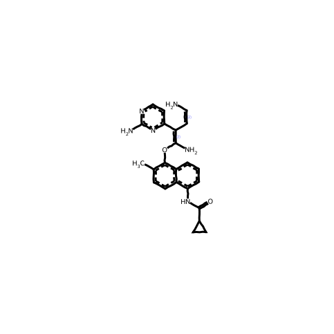 Cc1ccc2c(NC(=O)C3CC3)cccc2c1O/C(N)=C(/C=C\N)c1ccnc(N)n1